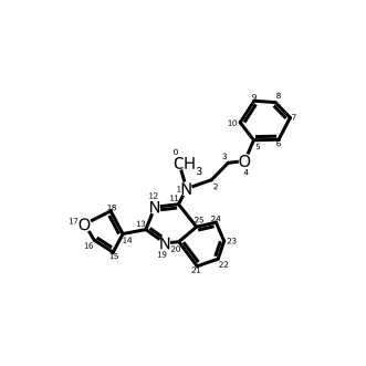 CN(CCOc1ccccc1)c1nc(-c2ccoc2)nc2ccccc12